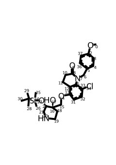 COc1ccc(CN2C(=O)CCc3c(OC[C@]4(O)CCNC[C@H]4O[Si](C)(C)C(C)(C)C)ccc(Cl)c32)cc1